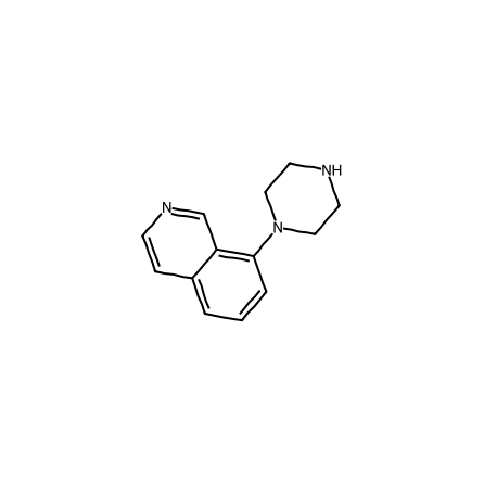 c1cc(N2CCNCC2)c2cnccc2c1